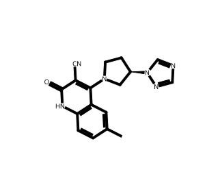 Cc1ccc2[nH]c(=O)c(C#N)c(N3CC[C@@H](n4cncn4)C3)c2c1